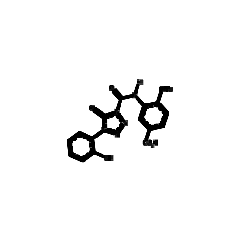 CCN(C(=O)n1nnn(-c2ccccc2O)c1=O)c1cc(C(=O)O)ccc1OC